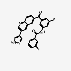 O=C(Nc1cc(F)cc(C(=O)c2ccc3ncc(-c4cn[nH]c4)cc3c2)c1)c1cccc(F)c1